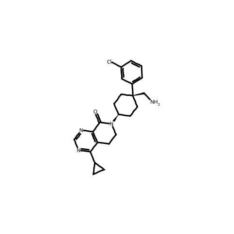 NC[C@]1(c2cccc(Cl)c2)CC[C@H](N2CCc3c(ncnc3C3CC3)C2=O)CC1